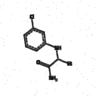 CCC(Nc1cccc(Cl)c1)C(N)=O